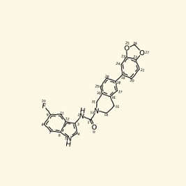 O=C(Nc1c[nH]c2ccc(F)cc12)N1CCc2cc(-c3ccc4c(c3)OCO4)ccc2C1